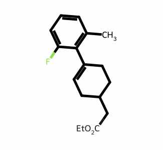 CCOC(=O)CC1CC=C(c2c(C)cccc2F)CC1